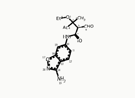 CCOC(C)(C(C)=O)[C@@H](C=O)C(=O)Nc1ccc2c(N)noc2c1